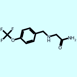 NC(=O)CNCc1ccc(OC(F)(F)F)cc1